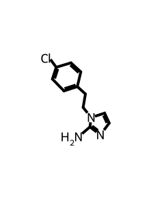 Nc1nccn1CCc1ccc(Cl)cc1